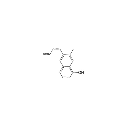 C=C/C=C\c1cc2cccc(O)c2cc1C